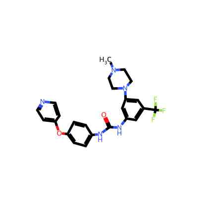 CN1CCN(c2cc(NC(=O)Nc3ccc(Oc4ccncc4)cc3)cc(C(F)(F)F)c2)CC1